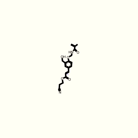 C=C(C)C(=O)NCOc1ccc(/C=C/C(=O)OCCC#N)cc1CO